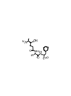 CC(C)C(NC(=O)CCC(O)C(C)N)C(=O)NC([C]=O)Cc1ccccc1